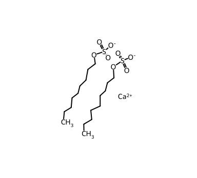 CCCCCCCCCOS(=O)(=O)[O-].CCCCCCCCCOS(=O)(=O)[O-].[Ca+2]